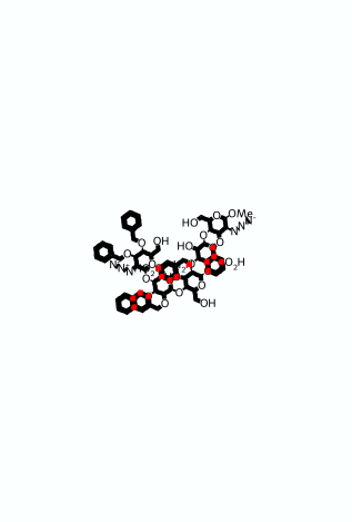 CO[C@H]1OC(CO)[C@@H](O[C@@H]2OC(C(=O)O)[C@H](O[C@@H]3OC(CO)[C@@H](O[C@@H]4OC(C(=O)O)[C@@H](O[C@H]5OC(CO)[C@@H](OCc6ccccc6)[C@H](OCc6ccccc6)C5N=[N+]=[N-])[C@H](OCc5ccccc5)C4OCc4ccccc4)C(O)[C@@H]3N)[C@@H](OCc3ccccc3)C2O)C(OCc2ccccc2)[C@@H]1N=[N+]=[N-]